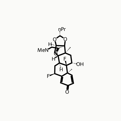 CCC[C@H]1O[C@@H]2C[C@H]3[C@@H]4C[C@H](F)C5=CC(=O)C=C[C@]5(C)[C@@]4(F)[C@@H](O)C[C@]3(C)[C@]2(C(=O)CNC)O1